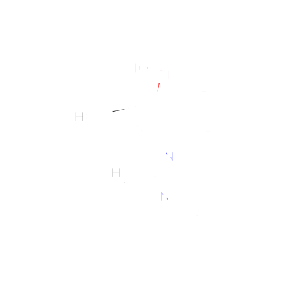 C#C[C@]1(CO)O[C@@H](N2C=CC(=O)NC2=C)[C@@H](C(F)F)[C@@H]1O